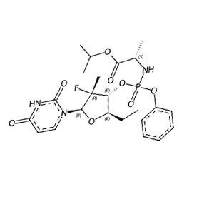 CC[C@H]1O[C@@H](n2ccc(=O)[nH]c2=O)[C@](C)(F)[C@@H]1OP(=O)(N[C@@H](C)C(=O)OC(C)C)Oc1ccccc1